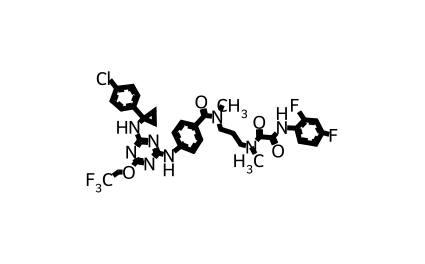 CN(CCCN(C)C(=O)c1ccc(Nc2nc(NC3(c4ccc(Cl)cc4)CC3)nc(OCC(F)(F)F)n2)cc1)C(=O)C(=O)Nc1ccc(F)cc1F